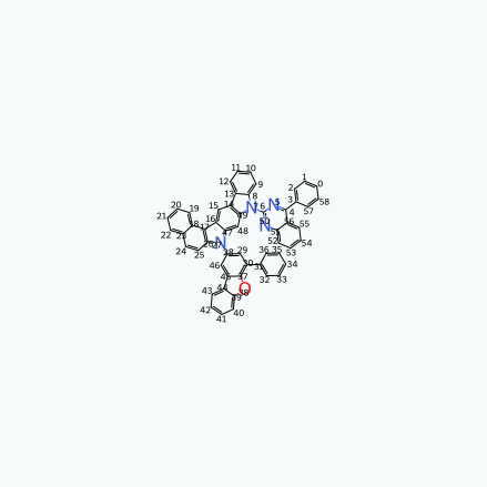 c1ccc(-c2nc(-n3c4ccccc4c4cc5c6c7ccccc7ccc6n(-c6cc(-c7ccccc7)c7oc8ccccc8c7c6)c5cc43)nc3ccccc23)cc1